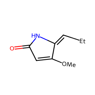 CCC=C1NC(=O)C=C1OC